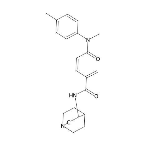 C=C(/C=C\C(=O)N(C)c1ccc(C)cc1)C(=O)NC1CN2CCC1CC2